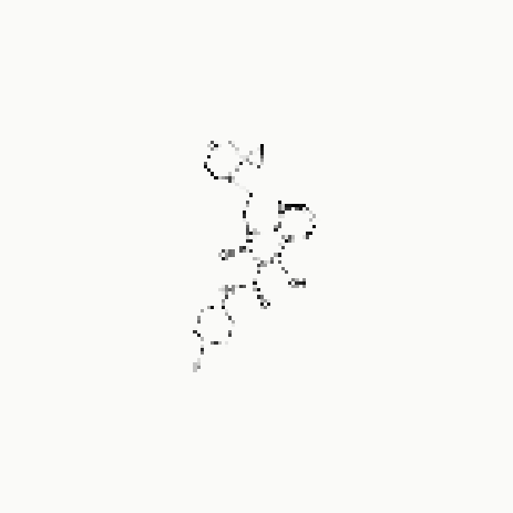 O=C(NC1CCC(F)CC1)c1c(O)c2cccnc2n(CCN2CCOCC23CC3)c1=O